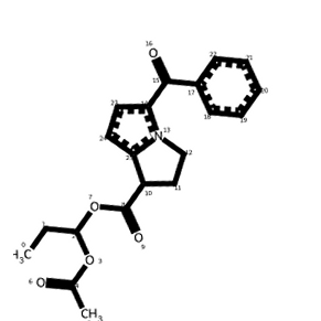 CCC(OC(C)=O)OC(=O)C1CCn2c(C(=O)c3ccccc3)ccc21